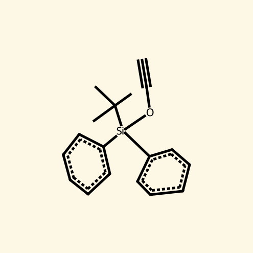 C#CO[Si](c1ccccc1)(c1ccccc1)C(C)(C)C